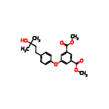 COC(=O)c1cc(Oc2ccc(CCC(C)(C)O)cc2)cc(C(=O)OC)c1